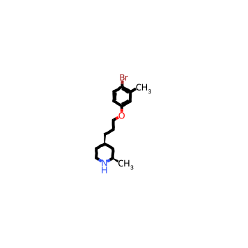 Cc1cc(OCCC[C@@H]2CCN[C@H](C)C2)ccc1Br